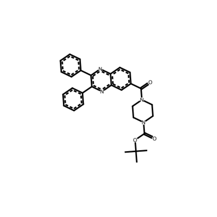 CC(C)(C)OC(=O)N1CCN(C(=O)c2ccc3nc(-c4ccccc4)c(-c4ccccc4)nc3c2)CC1